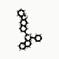 c1ccc(-c2nc(-c3ccc4cc5c(cc4c3)oc3ccccc35)nc3c2ccc2ccccc23)cc1